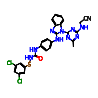 Cc1nc(NCC#N)nc(-n2c(Nc3ccc(NC(=O)NSc4cc(Cl)cc(Cl)c4)cc3)nc3ccccc32)n1